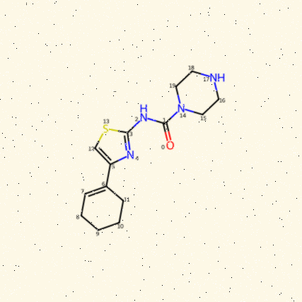 O=C(Nc1nc(C2=CCCCC2)cs1)N1CCNCC1